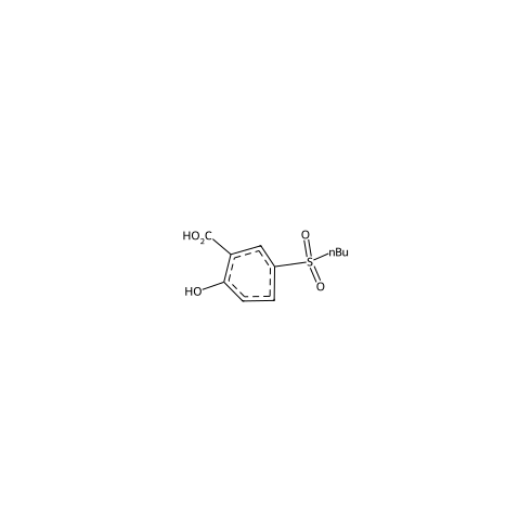 CCCCS(=O)(=O)c1ccc(O)c(C(=O)O)c1